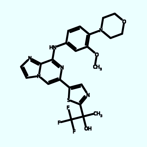 COc1cc(Nc2nc(-c3cnc(C(C)(O)C(F)(F)F)s3)cn3ccnc23)ccc1N1CCOCC1